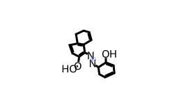 OOc1ccc2c(c1/N=N/C1CC=CC=C1O)C=CCC2